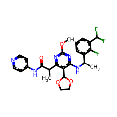 COc1nc(N[C@H](C)c2cccc(C(F)F)c2F)c(C2OCCO2)c(C(C)C(=O)Nc2ccncc2)n1